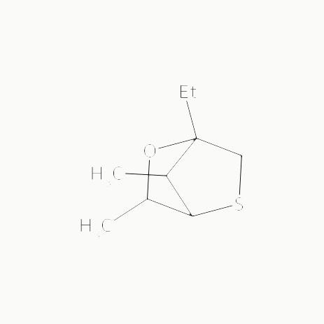 CCC12CSC(C(C)O1)C2C